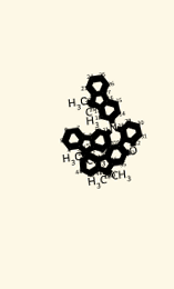 CC1(C)c2ccccc2-c2cc(N(c3ccc4c(c3)C(C)(C)c3ccccc3-4)c3cccc4oc5cc6c(cc5c34)-c3ccccc3C6(C)C)ccc21